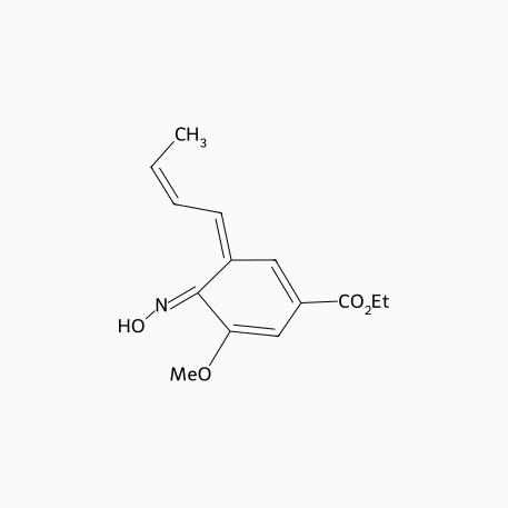 C\C=C/C=C1/C=C(C(=O)OCC)C=C(OC)/C1=N\O